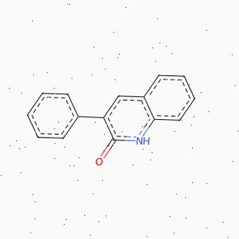 O=c1[nH]c2ccccc2cc1-c1ccccc1